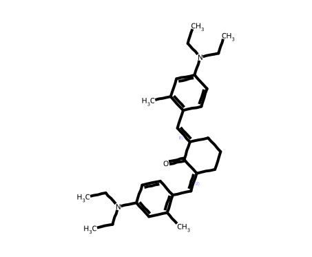 CCN(CC)c1ccc(/C=C2/CCC/C(=C\c3ccc(N(CC)CC)cc3C)C2=O)c(C)c1